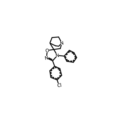 Clc1ccc(C2=NOC3(CN4CCC3CC4)N2c2ccccc2)cc1